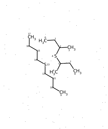 CCC(C)SC(C)CC.CCCCSCCCC